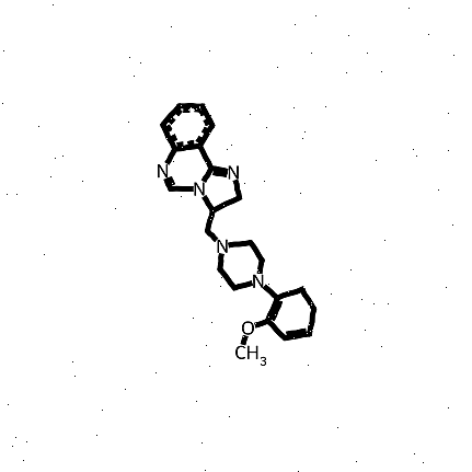 COC1=C(N2CCN(CC3CN=C4c5ccccc5N=CN43)CC2)CCC=C1